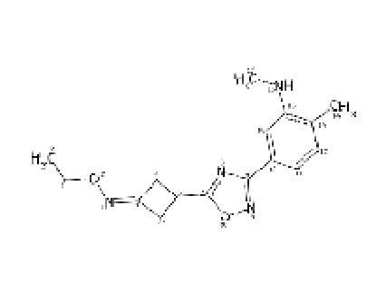 CCON=C1CC(c2nc(-c3ccc(C)c(NC)c3)no2)C1